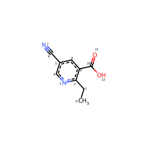 CCc1ncc(C#N)cc1C(=O)O